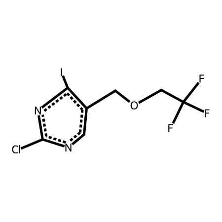 FC(F)(F)COCc1cnc(Cl)nc1I